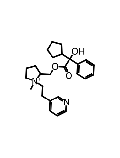 C[N+]1(CCc2cccnc2)CCCC1COC(=O)C(O)(c1ccccc1)C1CCCC1